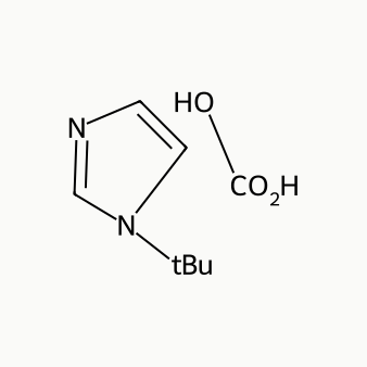 CC(C)(C)n1ccnc1.O=C(O)O